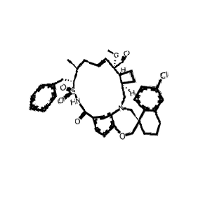 CO[C@@]1(C=O)/C=C/C[C@H](C)[C@@H](Cc2ccccc2)S(=O)(=O)NC(=O)c2ccc3c(c2)N(C[C@@H]2CC[C@H]21)C[C@@]1(CCCc2cc(Cl)ccc21)CO3